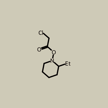 CCC1CCCCN1OC(=O)CCl